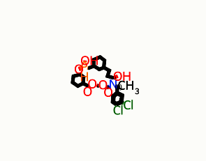 C[C@H](c1ccc(Cl)c(Cl)c1)N(C(=O)OCOC(=O)C1CCCCC1)C(O)CCC1CCCC(C[PH](=O)O)C1